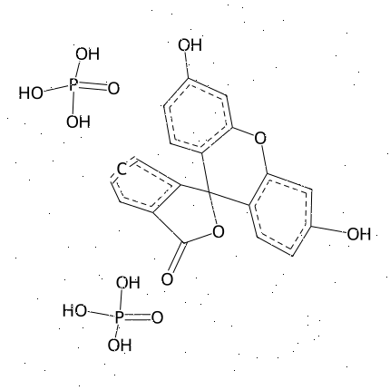 O=C1OC2(c3ccc(O)cc3Oc3cc(O)ccc32)c2ccccc21.O=P(O)(O)O.O=P(O)(O)O